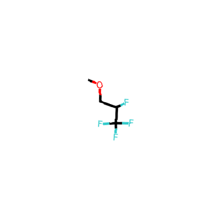 COCC(F)C(F)(F)F